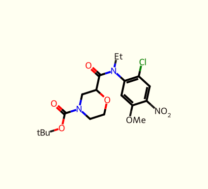 CCN(C(=O)C1CN(C(=O)OC(C)(C)C)CCO1)c1cc(OC)c([N+](=O)[O-])cc1Cl